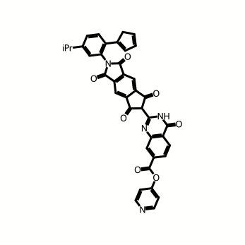 CC(C)c1ccc(C2=CC=CC2)c(N2C(=O)c3cc4c(cc3C2=O)C(=O)C(c2nc3cc(C(=O)Oc5ccncc5)ccc3c(=O)[nH]2)C4=O)c1